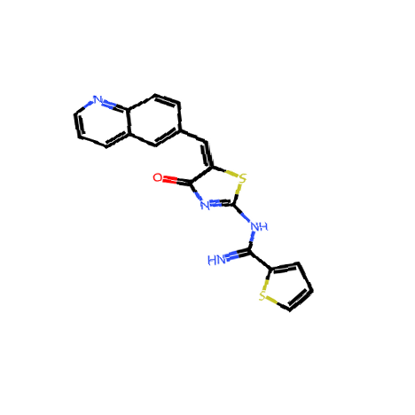 N=C(NC1=NC(=O)C(=Cc2ccc3ncccc3c2)S1)c1cccs1